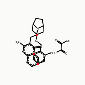 Cc1nc2ccccn2c(=O)c1CCN1C2CCC1CC(OCc1ccccc1F)C2.O=C(O)C(=O)O